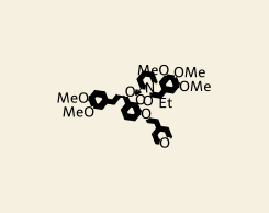 CC[C@H](C(=O)N1CCCC[C@H]1C(=O)O[C@H](CCc1ccc(OC)c(OC)c1)c1cccc(OCCC2CCOCC2)c1)c1cc(OC)c(OC)c(OC)c1